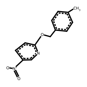 Cc1ccc(COc2ccc([N+](=O)[O-])cn2)cc1